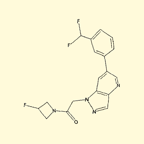 O=C(Cn1ncc2ncc(-c3cccc(C(F)F)c3)cc21)N1CC(F)C1